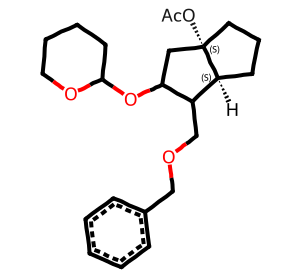 CC(=O)O[C@]12CCC[C@H]1C(COCc1ccccc1)C(OC1CCCCO1)C2